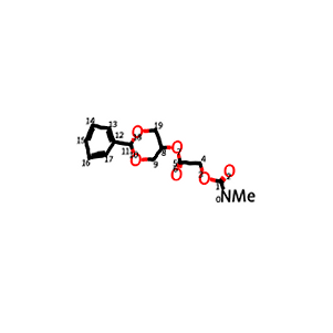 CNC(=O)OCC(=O)OC1COC(c2ccccc2)OC1